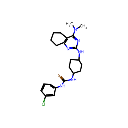 CN(C)c1nc(NC2CCC(NC(=S)Nc3cccc(Cl)c3)CC2)nc2c1CCCC2